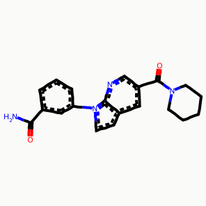 NC(=O)c1cccc(-n2ccc3cc(C(=O)N4CCCCC4)cnc32)c1